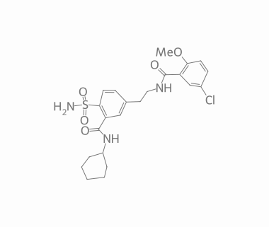 COc1ccc(Cl)cc1C(=O)NCCc1ccc(S(N)(=O)=O)c(C(=O)NC2CCCCC2)c1